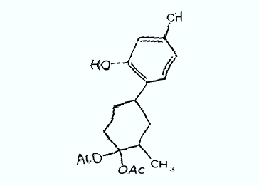 CC(=O)OC1(OC(C)=O)CCC(c2ccc(O)cc2O)CC1C